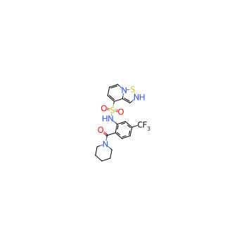 O=C(c1ccc(C(F)(F)F)cc1NS(=O)(=O)C1=CC=CN2SNC=C12)N1CCCCC1